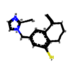 C=C1CCCc2c(S)cc(Cn3ccnc3C)cc21